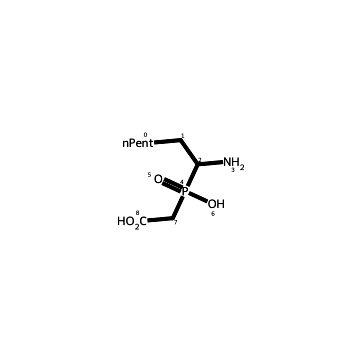 CCCCCCC(N)P(=O)(O)CC(=O)O